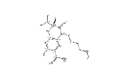 COCCCCN1C(=O)[C@@](C)(C(C)C)Oc2cc(C)c(C(=O)O)cc21